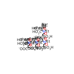 CCCCCOC(CC)N(C(=O)CC(C(=O)[O-])S(=O)(=O)O)C(CC(=O)O)C(=O)O.CCCCCOC(CC)N(C(=O)CC(C(=O)[O-])S(=O)(=O)O)C(CC(=O)O)C(=O)O.CCCCCOC(CC)N(C(=O)CC(C(=O)[O-])S(=O)(=O)O)C(CC(=O)O)C(=O)O.CCCCCOC(CC)N(C(=O)CC(C(=O)[O-])S(=O)(=O)O)C(CC(=O)O)C(=O)O.[Na+].[Na+].[Na+].[Na+]